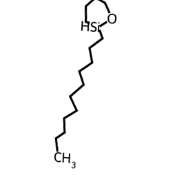 CCCCCCCCCCC[SiH]1CCCCO1